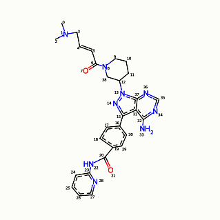 CN(C)C/C=C/C(=O)N1CCCC(n2nc(-c3ccc(C(=O)Nc4ccccn4)cc3)c3c(N)ncnc32)C1